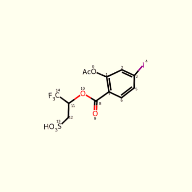 CC(=O)Oc1cc(I)ccc1C(=O)OC(CS(=O)(=O)O)C(F)(F)F